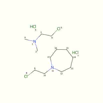 CN(C)CCCl.Cl.Cl.ClCCN1CCCCCC1